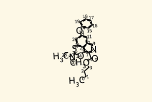 CCCCOC(=O)c1ncc2cc(Oc3ccccc3)ccc2c1OC(=S)N(C)C